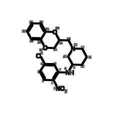 O=[N+]([O-])c1ccc(Cl)cc1NC1CCCN(CC2COc3ccccc3O2)C1